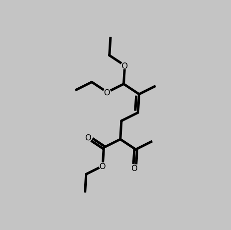 CCOC(=O)C(CC=C(C)C(OCC)OCC)C(C)=O